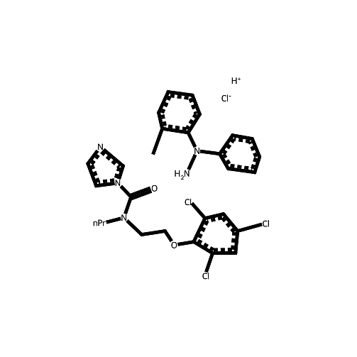 CCCN(CCOc1c(Cl)cc(Cl)cc1Cl)C(=O)n1ccnc1.Cc1ccccc1N(N)c1ccccc1.[Cl-].[H+]